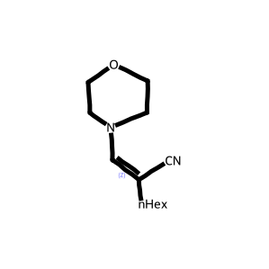 CCCCCC/C(C#N)=C/N1CCOCC1